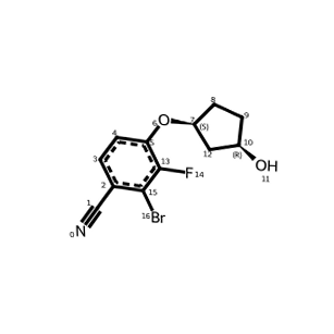 N#Cc1ccc(O[C@H]2CC[C@@H](O)C2)c(F)c1Br